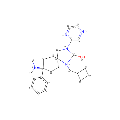 CN(C)[C@]1(c2ccccc2)CC[C@]2(CC1)CN(c1cnccn1)C(O)N2CC1CCC1